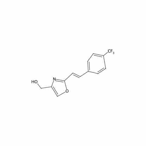 OCc1coc(C=Cc2ccc(C(F)(F)F)cc2)n1